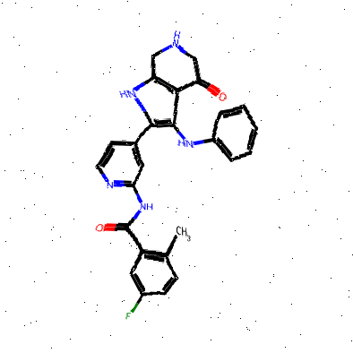 Cc1ccc(F)cc1C(=O)Nc1cc(-c2[nH]c3c(c2Nc2ccccc2)C(=O)CNC3)ccn1